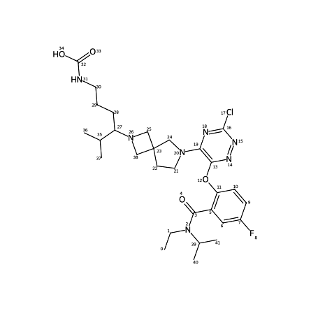 CCN(C(=O)c1cc(F)ccc1Oc1nnc(Cl)nc1N1CCC2(C1)CN(C(CCCNC(=O)O)C(C)C)C2)C(C)C